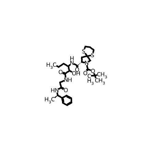 CCCC(NC(=O)[C@@H]1CC2(CN1C(=O)OC(C)(C)C)SCCCS2)C(O)C(=O)NCC(=O)N[C@H](C)c1ccccc1